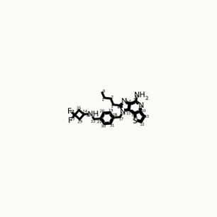 CCCCc1nc2c(N)nc3ccsc3c2n1Cc1ccc(CNC2CC(F)(F)C2)cc1